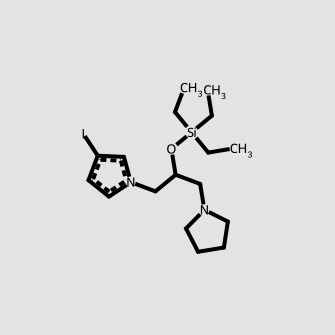 CC[Si](CC)(CC)OC(CN1CCCC1)Cn1ccc(I)c1